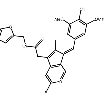 COc1cc(C=C2C(C)=C(CC(=O)NCc3ccco3)c3cc(F)ncc32)cc(OC)c1O